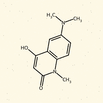 CN(C)c1ccc2c(c1)c(O)cc(=O)n2C